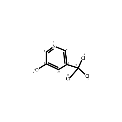 [O]c1cncc(C(Cl)(Cl)Cl)c1